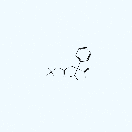 CC(C)C(NC(=O)OC(C)(C)C)(C(=O)O)c1ccccc1